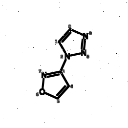 [c]1cn(-c2ccon2)nn1